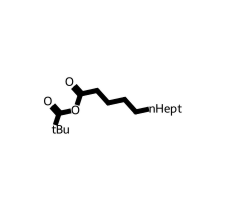 CCCCCCCCCCCC(=O)OC(=O)C(C)(C)C